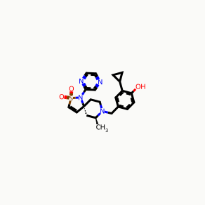 C[C@H]1C[C@@]2(C=CS(=O)(=O)N2c2cnccn2)CCN1Cc1ccc(O)c(C2CC2)c1